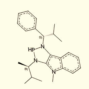 CC(C)[C@@H](C)N1PN([C@H](c2ccccc2)C(C)C)c2c1n(C)c1ccccc21